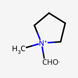 C[N+]1([C]=O)CCCC1